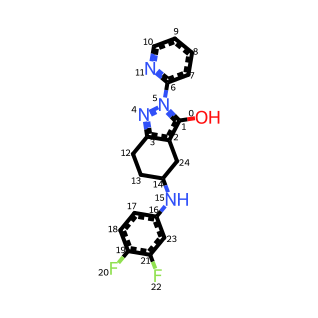 Oc1c2c(nn1-c1ccccn1)CCC(Nc1ccc(F)c(F)c1)C2